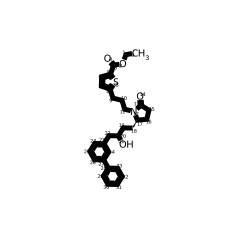 CCOC(=O)c1ccc(CCCN2C(=O)CC[C@@H]2CCC(O)Cc2cccc(-c3ccccc3)c2)s1